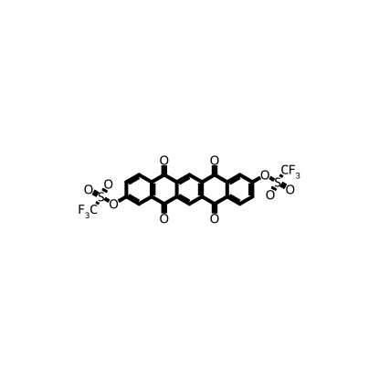 O=c1c2ccc(OS(=O)(=O)C(F)(F)F)cc2c(=O)c2cc3c(=O)c4ccc(OS(=O)(=O)C(F)(F)F)cc4c(=O)c3cc12